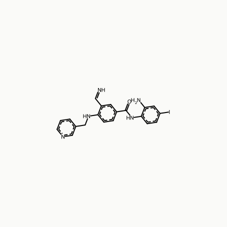 N=Cc1cc(C(=O)Nc2ccc(I)cc2N)ccc1NCc1cccnc1